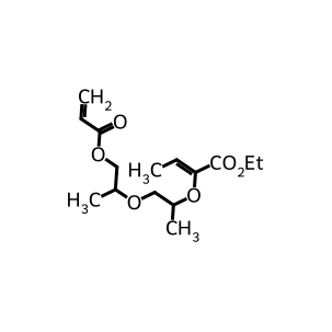 C=CC(=O)OCC(C)OCC(C)OC(=CC)C(=O)OCC